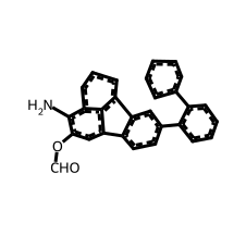 Nc1c(OC=O)cc2c3c(cccc13)-c1cc(-c3ccccc3-c3ccccc3)ccc1-2